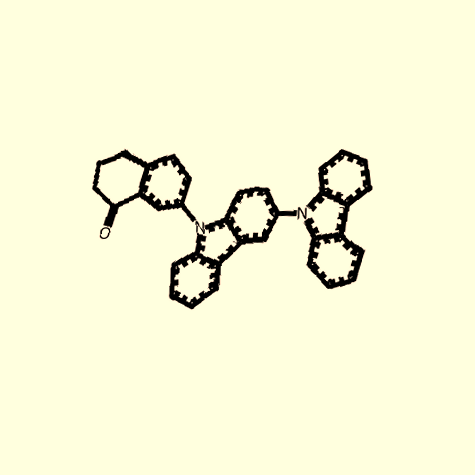 O=C1CCCc2ccc(-n3c4ccccc4c4cc(-n5c6ccccc6c6ccccc65)ccc43)cc21